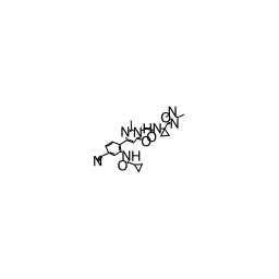 Cc1noc(C2(NC(=O)Cn3c(C)nc(-c4ccc(C#N)cc4NC(=O)C4CC4)cc3=O)CC2)n1